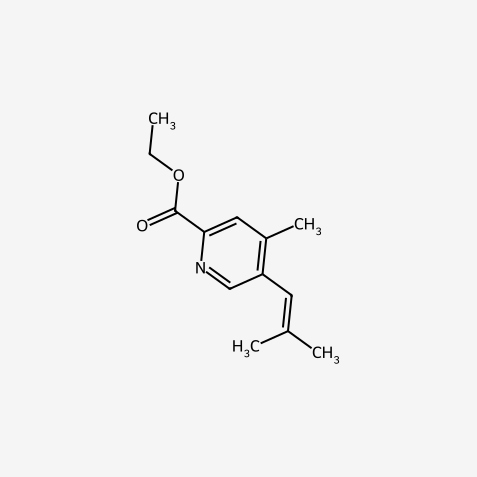 CCOC(=O)c1cc(C)c(C=C(C)C)cn1